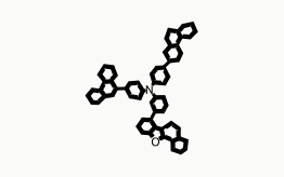 c1cc(-c2cccc3oc4c5ccccc5ccc4c23)cc(N(c2ccc(-c3ccc4c(ccc5ccccc54)c3)cc2)c2ccc(-c3cc4ccccc4c4ccccc34)cc2)c1